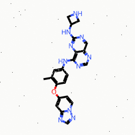 Cc1cc(Nc2ncnc3cnc(NC4CNC4)nc23)ccc1Oc1ccn2ncnc2c1